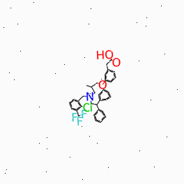 CC(COc1cccc(CC(=O)O)c1)CN(Cc1cccc(C(F)(F)F)c1Cl)CC(c1ccccc1)c1ccccc1